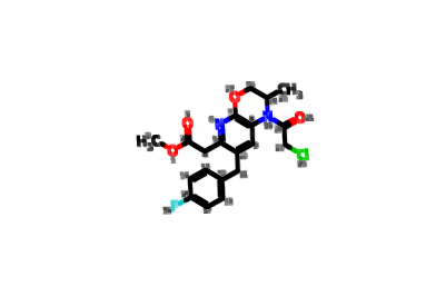 COC(=O)Cc1nc2c(cc1Cc1ccc(F)cc1)N(C(=O)CCl)C(C)CO2